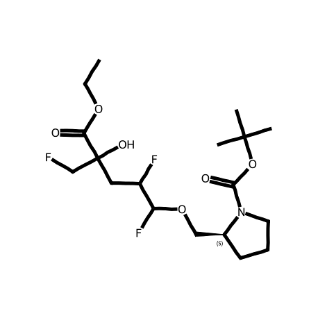 CCOC(=O)C(O)(CF)CC(F)C(F)OC[C@@H]1CCCN1C(=O)OC(C)(C)C